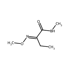 CBC(=O)/C(CC)=N/OC